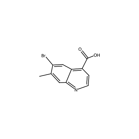 Cc1cc2nccc(C(=O)O)c2cc1Br